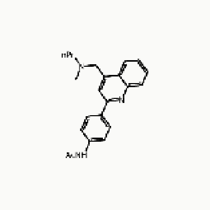 CCCN(C)Cc1cc(-c2ccc(NC(C)=O)cc2)nc2ccccc12